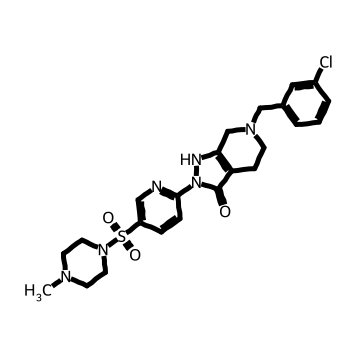 CN1CCN(S(=O)(=O)c2ccc(-n3[nH]c4c(c3=O)CCN(Cc3cccc(Cl)c3)C4)nc2)CC1